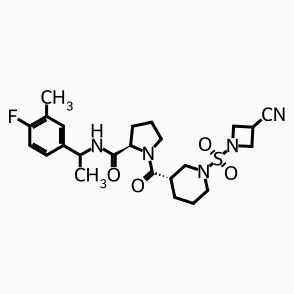 Cc1cc(C(C)NC(=O)[C@H]2CCCN2C(=O)[C@H]2CCCN(S(=O)(=O)N3CC(C#N)C3)C2)ccc1F